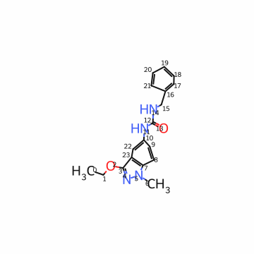 CCOc1nn(C)c2ccc(NC(=O)NCc3ccccc3)cc12